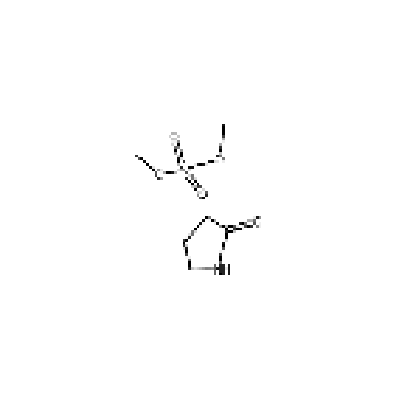 COS(=O)(=O)OC.O=C1CCCN1